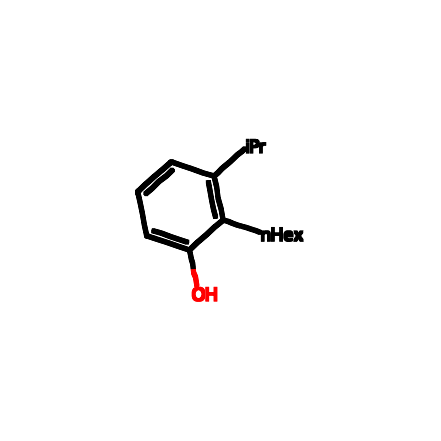 CCCCCCc1c(O)cccc1C(C)C